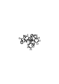 C[S+]([O-])c1ncc2c(=O)n(-c3ccccc3Cl)n(-c3ccccn3)c2n1